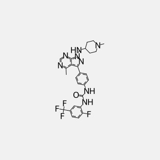 Cc1ncnc2c1c(-c1ccc(NC(=O)Nc3cc(C(F)(F)F)ccc3F)cc1)nn2NC1CCN(C)CC1